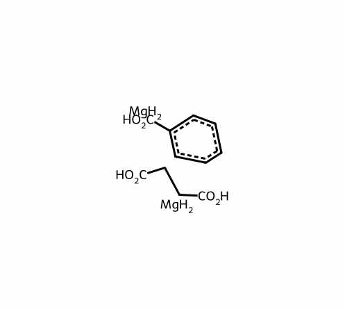 O=C(O)CCC(=O)O.O=C(O)c1ccccc1.[MgH2].[MgH2]